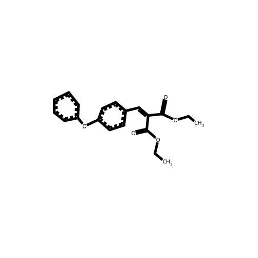 CCOC(=O)C(=Cc1ccc(Oc2ccccc2)cc1)C(=O)OCC